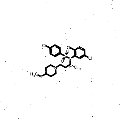 CSC1CCN(CC[C@@H](C)N(c2cc(Cl)ccc2Cl)S(=O)(=O)c2ccc(Cl)cc2)CC1